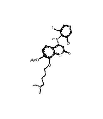 COc1ccc2c(Nc3c(Cl)cncc3Cl)cc(=O)oc2c1OCCCCN(C)C